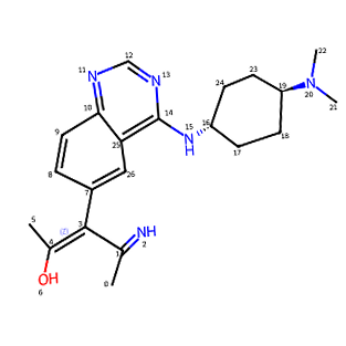 CC(=N)/C(=C(/C)O)c1ccc2ncnc(N[C@H]3CC[C@H](N(C)C)CC3)c2c1